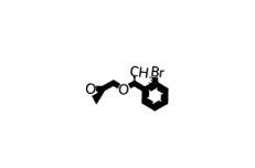 C[C@@H](OCC1CO1)c1ccccc1Br